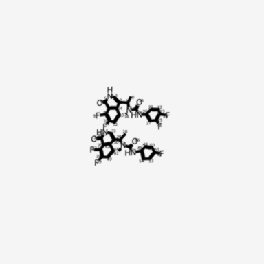 CC(c1c[nH]c(=O)c2c(F)c(F)ccc12)N(C)C(=O)Nc1ccc(F)c(F)c1.CC(c1c[nH]c(=O)c2c(F)c(F)ccc12)N(C)C(=O)Nc1ccc(F)cc1